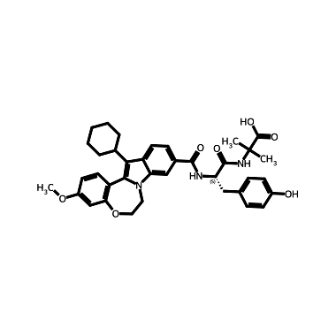 COc1ccc2c(c1)OCCn1c-2c(C2CCCCC2)c2ccc(C(=O)N[C@@H](Cc3ccc(O)cc3)C(=O)NC(C)(C)C(=O)O)cc21